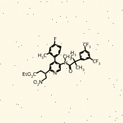 CCOC(=O)CC(C[N+](=O)[O-])c1cc(-c2ccc(F)cc2C)c(N(C)C(=O)C(C)(C)c2cc(C(F)(F)F)cc(C(F)(F)F)c2)cn1